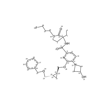 CCC(CC)(NC(=O)c1ccc(N2CC(O)C2)c(OC[C@H]2C[C@@H]2COCc2ccccc2)n1)C(=O)OCCCF